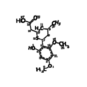 COc1cc(O)c(C(CC(C)C)SCCC(=O)O)c(OC)c1